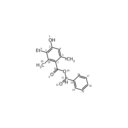 CCc1c(O)cc(C)c(C(=O)O[PH](=O)c2ccccc2)c1C